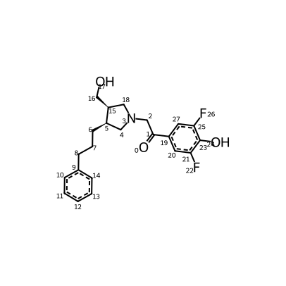 O=C(CN1C[C@@H](CCCc2ccccc2)[C@@H](CO)C1)c1cc(F)c(O)c(F)c1